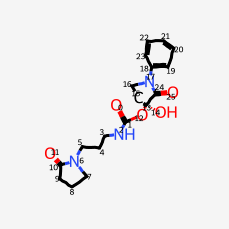 O=C(NCCCN1CCCC1=O)O[C@@]1(O)CCN(c2ccccc2)C1=O